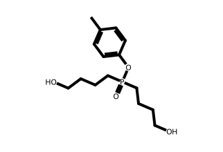 Cc1ccc(OP(=O)(CCCCO)CCCCO)cc1